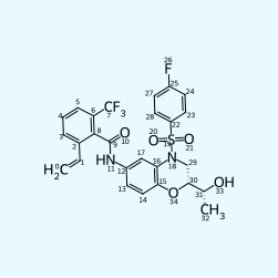 C=Cc1cccc(C(F)(F)F)c1C(=O)Nc1ccc2c(c1)N(S(=O)(=O)c1ccc(F)cc1)C[C@H]([C@@H](C)O)O2